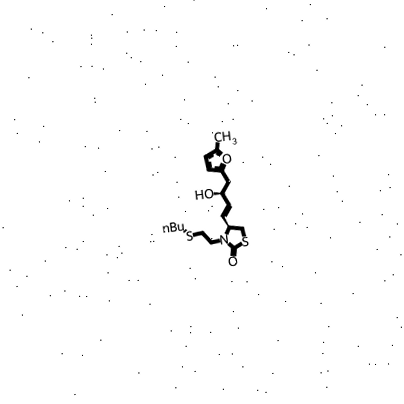 CCCCSCCN1C(=O)SC[C@@H]1/C=C/[C@@H](O)Cc1ccc(C)o1